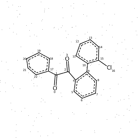 O=C(C(=O)c1ccccc1-c1ccccc1Cl)c1ccccc1